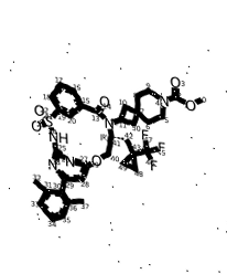 COC(=O)N1CCC2(CC1)CC(N1C(=O)c3cccc(c3)S(=O)(=O)Nc3nc(cc(-c4c(C)cccc4C)n3)OC[C@H]1CC1(C(F)(F)F)CC1)C2